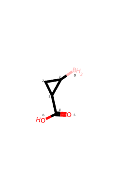 BC1CC1C(=O)O